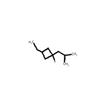 CCC1CC(F)(CC(C)C)C1